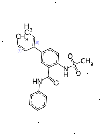 C/C=C\C(=C/C)c1ccc(NS(C)(=O)=O)c(C(=O)Nc2ccccc2)c1